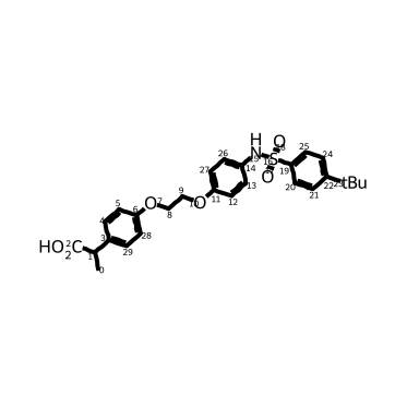 CC(C(=O)O)c1ccc(OCCOc2ccc(NS(=O)(=O)c3ccc(C(C)(C)C)cc3)cc2)cc1